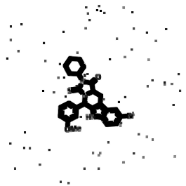 COc1cccc(C2c3[nH]c4ccc(Br)cc4c3CC3C(=O)N(C4CCCCC4)C(=S)N32)c1